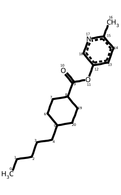 CCCCCC1CCC(C(=O)Oc2ccc(C)nc2)CC1